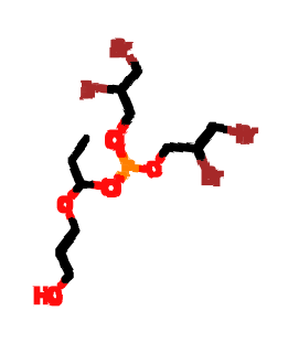 CCC(OCCCO)OP(OCC(Br)CBr)OCC(Br)CBr